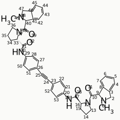 CN1Cc2ccccc2C1C(=O)N1CCC[C@H]1C(=O)Nc1ccc(C#Cc2ccc(NC(=O)[C@@H]3CCCN3C(=O)C3c4ccccc4CN3C)cc2)cc1